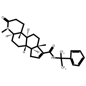 CN1C(=O)CC[C@]2(C)[C@H]3CC[C@]4(C)C(C(=O)NC(c5ccccc5)(C(F)(F)F)C(F)(F)F)=CC[C@H]4[C@@H]3CC[C@@H]12